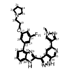 Cn1cc(-c2cc3c(-c4nc5c(-c6cc(F)cc(OCCN7CCCC7)c6)cccc5[nH]4)n[nH]c3cn2)cn1